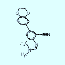 CN(C)/C=N\c1ccc(-c2ccc3c(c2)OCCO3)cc1C#N